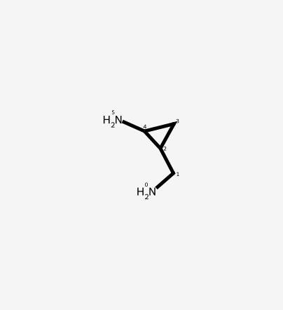 NCC1CC1N